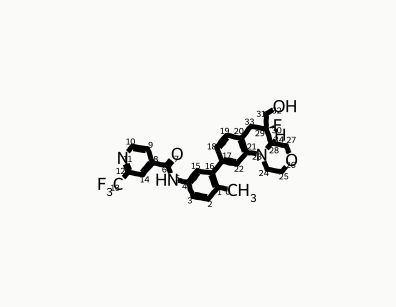 Cc1ccc(NC(=O)c2ccnc(C(F)(F)F)c2)cc1-c1ccc2c(c1)N1CCOC[C@H]1[C@](F)(CO)C2